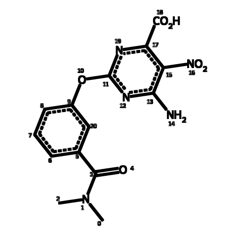 CN(C)C(=O)c1cccc(Oc2nc(N)c([N+](=O)[O-])c(C(=O)O)n2)c1